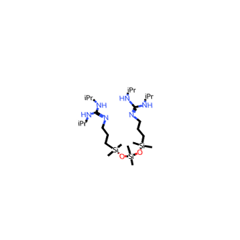 CC(C)NC(=NCCC[Si](C)(C)O[Si](C)(C)O[Si](C)(C)CCCN=C(NC(C)C)NC(C)C)NC(C)C